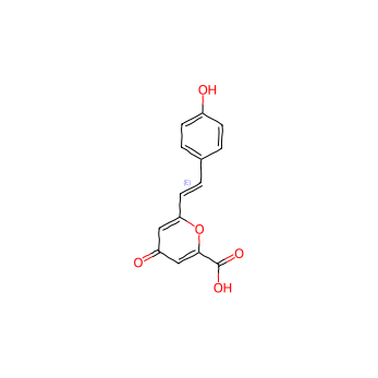 O=C(O)c1cc(=O)cc(/C=C/c2ccc(O)cc2)o1